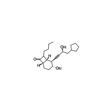 CCCCC1C(=O)[C@H]2CC[C@@H](O)[C@H](C#C[C@@H](O)CC3CCCC3)[C@@H]12